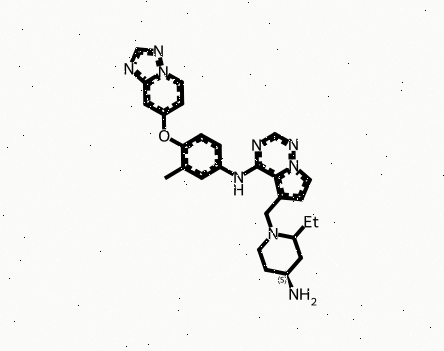 CCC1C[C@@H](N)CCN1Cc1ccn2ncnc(Nc3ccc(Oc4ccn5ncnc5c4)c(C)c3)c12